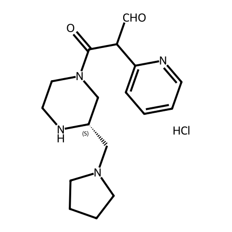 Cl.O=CC(C(=O)N1CCN[C@@H](CN2CCCC2)C1)c1ccccn1